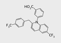 O=C(O)c1cccc(N2C(Cc3ccc(C(F)(F)F)cc3)=C=Cc3cc(C(F)(F)F)ccc32)c1